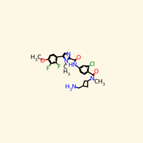 COc1ccc(-c2cnc(C(=O)Nc3ccc(C(=O)N(C)C4CC(CN)C4)c(Cl)c3)n2C)c(F)c1F